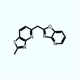 Cc1nc2nc(Cc3nc4ncccc4o3)ccc2s1